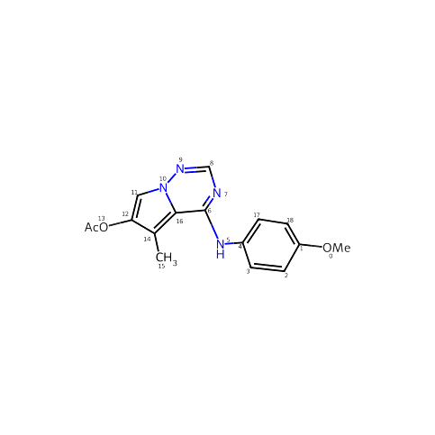 COc1ccc(Nc2ncnn3cc(OC(C)=O)c(C)c23)cc1